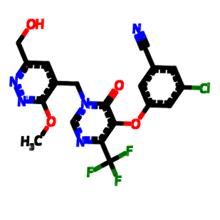 COc1nnc(CO)cc1Cn1cnc(C(F)(F)F)c(Oc2cc(Cl)cc(C#N)c2)c1=O